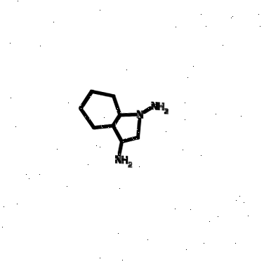 NC1CN(N)C2CCCCC12